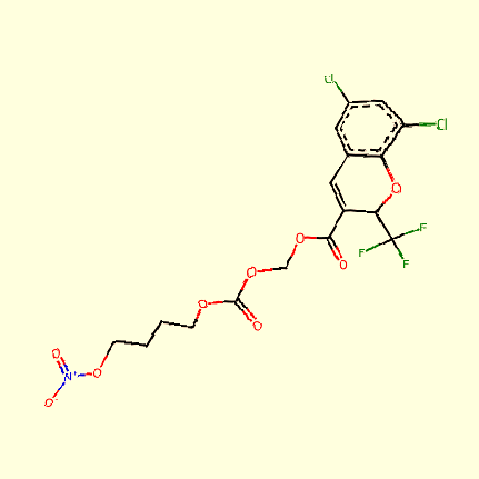 O=C(OCCCCO[N+](=O)[O-])OCOC(=O)C1=Cc2cc(Cl)cc(Cl)c2OC1C(F)(F)F